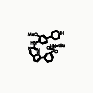 COc1cc(C2CCNCC2)ccc1Nc1ncc2ccc(-c3cccc(S(=O)(=O)NC(C)(C)C)c3)n2n1